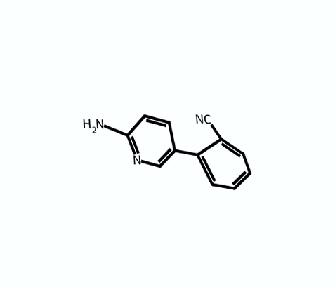 N#Cc1ccccc1-c1ccc(N)nc1